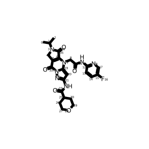 CC(C)N1Cc2c(n(CC(=O)Nc3ccc(F)cn3)c3cc(NC(=O)C4CCOCC4)nn3c2=O)C1=O